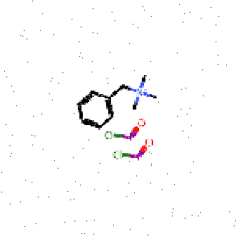 C[N+](C)(C)Cc1ccccc1.O=ICl.O=ICl